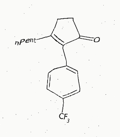 CCCCCC1=C(c2ccc(C(F)(F)F)cc2)C(=O)CC1